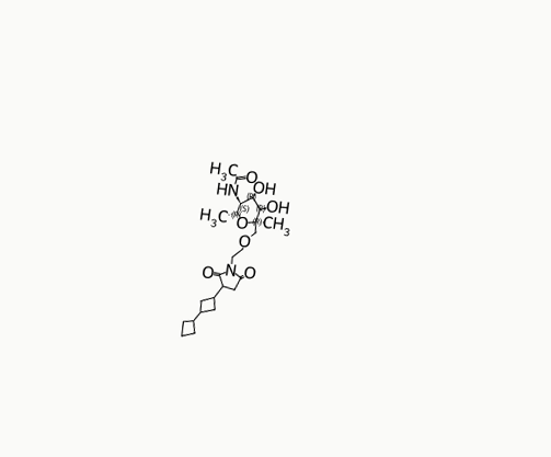 CC(=O)N[C@H]1[C@@H](O)[C@@H](O)[C@@](C)(COCCN2C(=O)CC(C3CC(C4CCC4)C3)C2=O)O[C@@H]1C